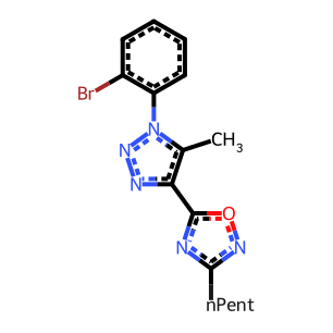 CCCCCc1noc(-c2nnn(-c3ccccc3Br)c2C)n1